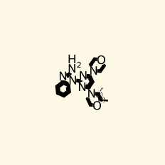 C[C@@H]1[C@@H](C)OCCN1c1cc(N2CCOCC2)nc(-n2c(N)nc3ccccc32)n1